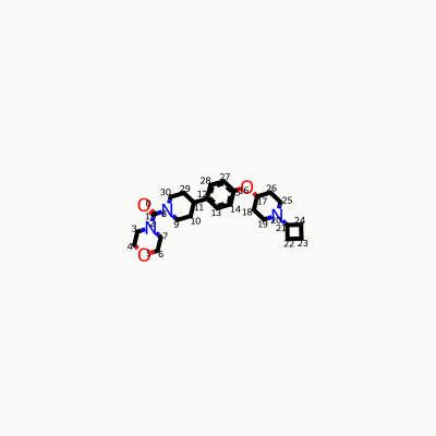 O=C(N1CCOCC1)N1CCC(c2ccc(OC3CCN(C4CCC4)CC3)cc2)CC1